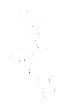 CSc1cc(C)[nH]c(=O)c1CNC(=O)c1c(C)n(C(C)C2CCN(C3CC(F)C3)CC2)c2ccccc12